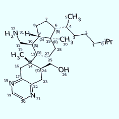 CC(C)CCCC(C)[C@H]1CC[C@H]2[C@H](CN)[C@@H]([C@@]3(C)Cc4nccnc4C[C@@H]3CO)CC[C@]12C